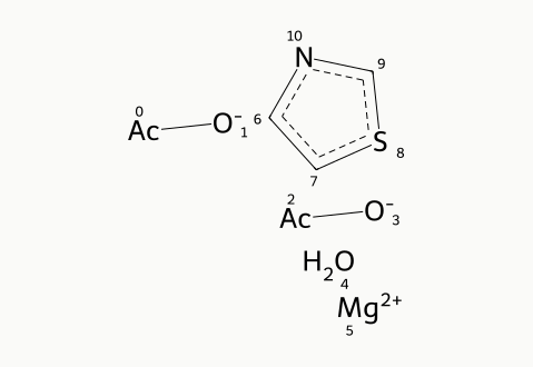 CC(=O)[O-].CC(=O)[O-].O.[Mg+2].c1cscn1